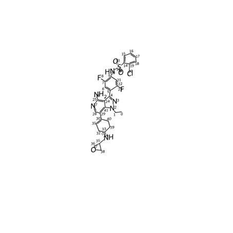 CCn1nc(-c2cc(F)c(NS(=O)(=O)c3ccccc3Cl)cc2F)c2c(N)ncc(C3=CC[C@@H](NC4COC4)CC3)c21